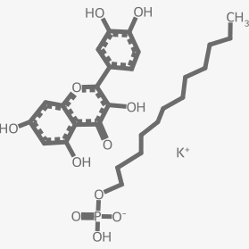 CCCCCCCCCCCCOP(=O)([O-])O.O=c1c(O)c(-c2ccc(O)c(O)c2)oc2cc(O)cc(O)c12.[K+]